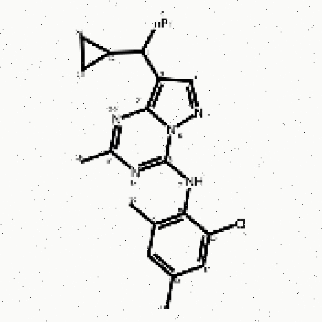 CCCC(c1cnn2c(Nc3c(C)cc(C)cc3Cl)nc(C)nc12)C1CC1